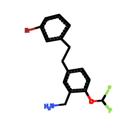 NCc1cc(CCc2cccc(Br)c2)ccc1OC(F)F